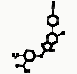 Cc1ccc(Oc2nc3cc(-c4ccc(C#N)cc4)c(Cl)cc3[nH]2)cc1C(=O)O